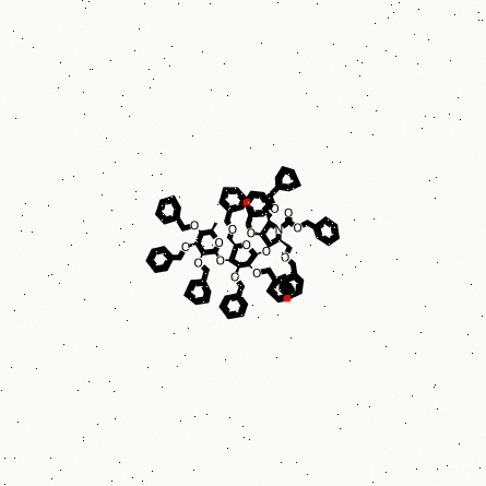 C[C@H]1O[C@@H](O[C@H]2[C@H](OCc3ccccc3)[C@@H](OCc3ccccc3)[C@@H](O[C@H]3[C@@H](OCc4ccccc4)[C@@H](COCc4ccccc4)N(C(=O)OCc4ccccc4)[C@H]3COCc3ccccc3)O[C@@H]2COCc2ccccc2)[C@H](OCc2ccccc2)[C@@H](OCc2ccccc2)[C@@H]1OCc1ccccc1